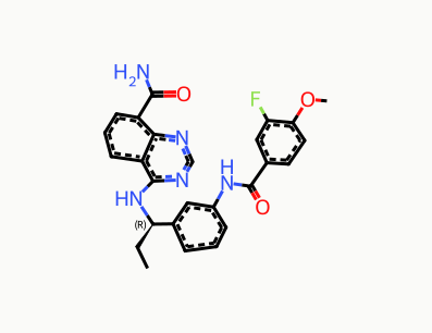 CC[C@@H](Nc1ncnc2c(C(N)=O)cccc12)c1cccc(NC(=O)c2ccc(OC)c(F)c2)c1